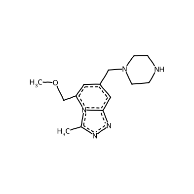 COCc1cc(CN2CCNCC2)cc2nnc(C)n12